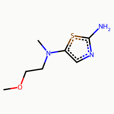 COCCN(C)c1cnc(N)s1